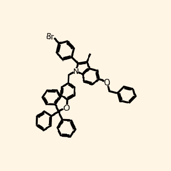 Cc1c(-c2ccc(Br)cc2)n(Cc2ccc(OC(c3ccccc3)(c3ccccc3)c3ccccc3)cc2)c2ccc(OCc3ccccc3)cc12